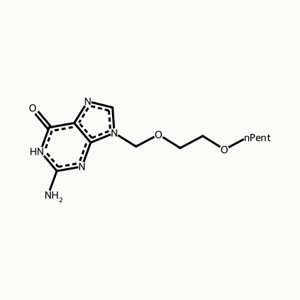 CCCCCOCCOCn1cnc2c(=O)[nH]c(N)nc21